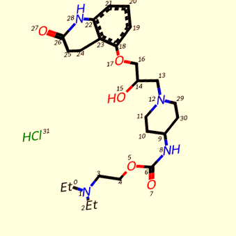 CCN(CC)CCOC(=O)NC1CCN(CC(O)COc2cccc3c2CCC(=O)N3)CC1.Cl